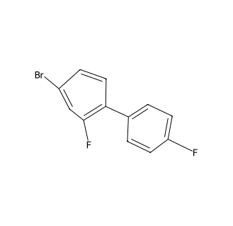 Fc1ccc(-c2ccc(Br)cc2F)cc1